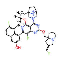 [2H]C([2H])([2H])Oc1nc(-c2cc(O)cc3ccc(F)c(C#C)c23)c(F)c2nc(OC[C@@]34CCCN3C/C(=C\F)C4)nc(N3CC4CCC(CC)(C3)N4)c12